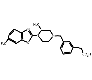 C[C@H]1CN(Cc2cccc(CC(=O)O)c2)CCN1c1nc2ccc(C(F)(F)F)cc2s1